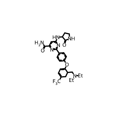 CCN(CC)CC1CC(C(F)(F)F)=CC=C1Oc1ccc(-c2nc(NC3CCNC3=O)cc(C(N)=O)n2)cc1